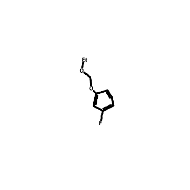 CCOCOc1[c]ccc(F)c1